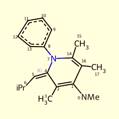 CNC1=C(C)/C(=C\C(C)C)N(c2ccccc2)C(C)=C1C